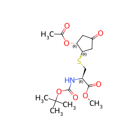 COC(=O)[C@H](CS[C@@H]1CC(=O)C[C@H]1OC(C)=O)NC(=O)OC(C)(C)C